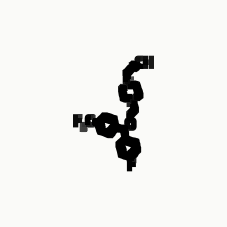 C#CCN1CCN(CCOC(c2ccc(F)cc2)c2ccc(C(F)(F)F)cc2)CC1